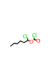 CCCCCC(Cl)OC(=O)Cl